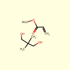 C=CC(=O)OOC.CC(C)(CO)CO